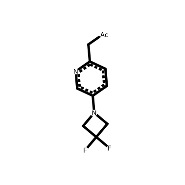 CC(=O)Cc1ccc(N2CC(F)(F)C2)cn1